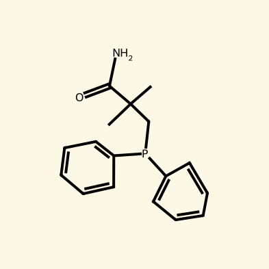 CC(C)(CP(c1ccccc1)c1ccccc1)C(N)=O